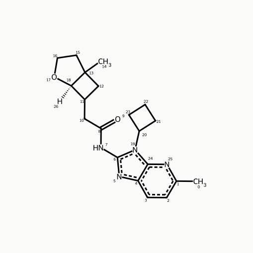 Cc1ccc2nc(NC(=O)CC3CC4(C)CCO[C@H]34)n(C3CCC3)c2n1